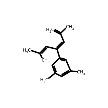 C=C(C)/C=C(\C=C(C)C)c1cc(C)cc(C)c1